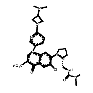 CN(C)C(=O)NC[C@H]1CCCN1c1cc2c(cc1Cl)c(=O)c(C(=O)O)cn2-c1ccc(N2CC(N(C)C)C2)nc1